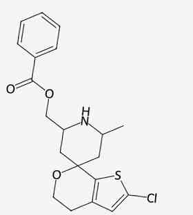 CC1CC2(CC(COC(=O)c3ccccc3)N1)OCCc1cc(Cl)sc12